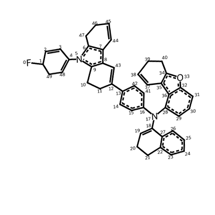 FC1C=CC(n2c3c(c4c2CCC(c2ccc(N(C5=CCCc6ccccc65)c5cccc6oc7c(c56)C=CCC7)cc2)=C4)C=CCC3)=CC1